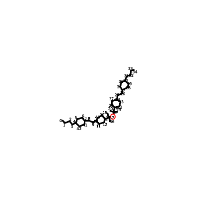 CCCCC1CCC(CCC2CCC(C(C)(C)OC(C)(C)C3CCC(CCC4CCC(CCCC)CC4)CC3)CC2)CC1